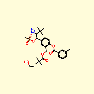 CCO.Cc1cccc(C(=O)Oc2ccc(C(OS(C)(=O)=O)C(N)C(C)(C)C)cc2COC(=O)C(C)(C)C)c1